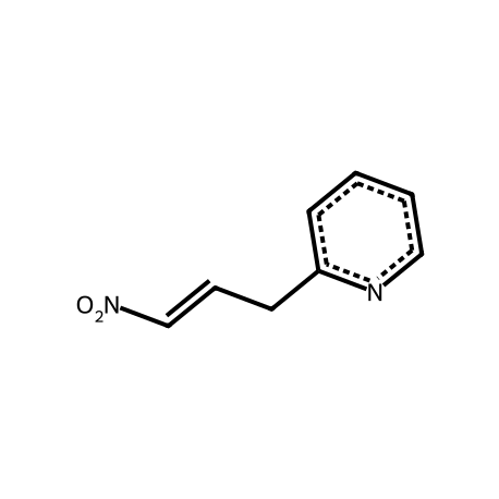 O=[N+]([O-])C=CCc1ccccn1